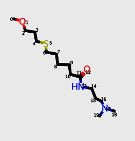 COCCCSCCCCCC(=O)NCCCN(C)C